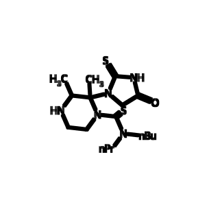 CCCCN(CCC)C(=S)N1CCNC(C)C1(C)N1CC(=O)NC1=S